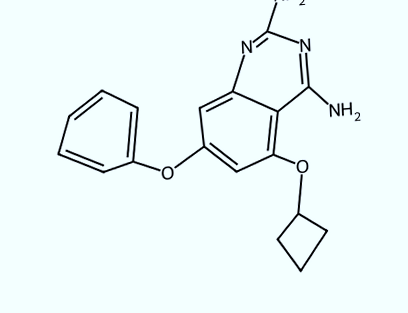 Nc1nc(N)c2c(OC3CCC3)cc(Oc3ccccc3)cc2n1